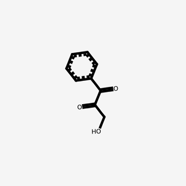 O=C(CO)C(=O)c1ccccc1